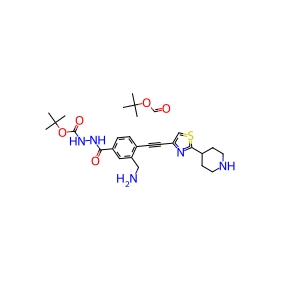 CC(C)(C)OC(=O)NNC(=O)c1ccc(C#Cc2csc(C3CCNCC3)n2)c(CN)c1.CC(C)(C)OC=O